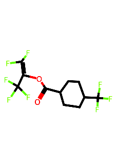 O=C(OC(=C(F)F)C(F)(F)F)C1CCC(C(F)(F)F)CC1